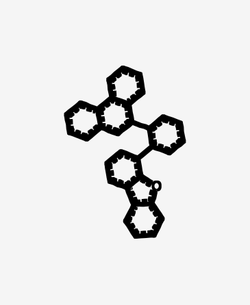 c1ccc(-c2cccc3c2oc2ccccc23)c(-c2cc3ccccc3c3ccccc23)c1